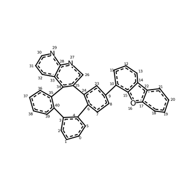 c1ccc2c(c1)-c1ccc(-c3cccc4c3oc3ccccc34)cc1-c1cnc3ncccc3c1-c1ccccc1-2